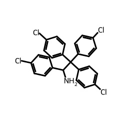 NC(c1ccc(Cl)cc1)C(c1ccc(Cl)cc1)(c1ccc(Cl)cc1)c1ccc(Cl)cc1